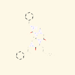 CSCC[C@H]1C(=O)N(CC(C)c2ccccc2)C[C@H]2N1C(=O)CN(C)N2C(=O)NCc1ccccc1